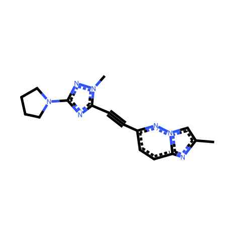 Cc1cn2nc(C#Cc3nc(N4CCCC4)nn3C)ccc2n1